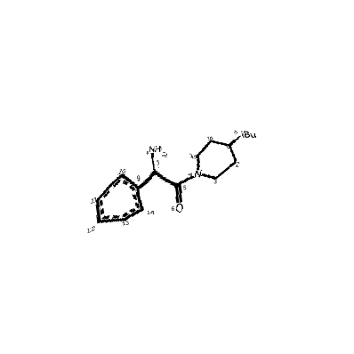 CC[C@H](C)C1CCN(C(=O)[C@H](N)c2ccccc2)CC1